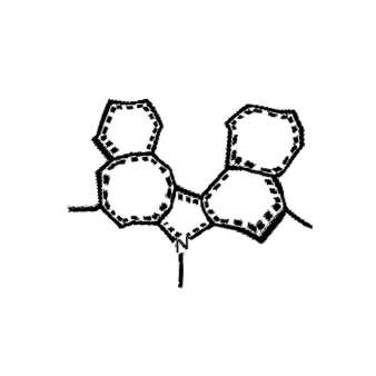 Cc1cc2c(c3ccccc13)c1c3ccccc3c(C)cc1n2C